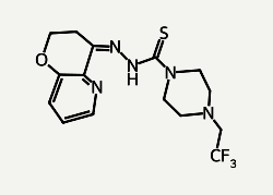 FC(F)(F)CN1CCN(C(=S)N/N=C2/CCOc3cccnc32)CC1